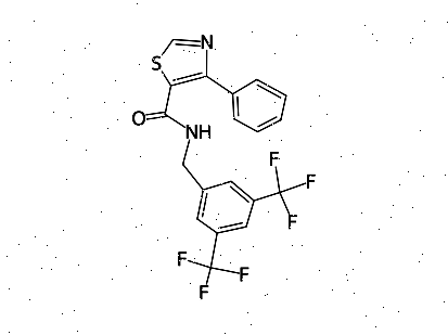 O=C(NCc1cc(C(F)(F)F)cc(C(F)(F)F)c1)c1scnc1-c1ccccc1